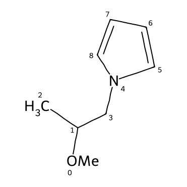 COC(C)Cn1cccc1